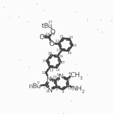 CCCCc1nc2cc(N)c(C)nc2n1Cc1ccc(-c2ccccc2OC(=O)OC(C)(C)C)cc1